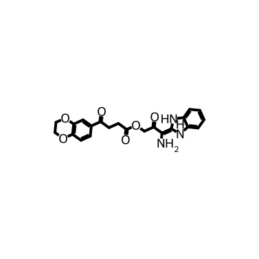 NC(C(=O)COC(=O)CCC(=O)c1ccc2c(c1)OCCO2)=C1Nc2ccccc2N1